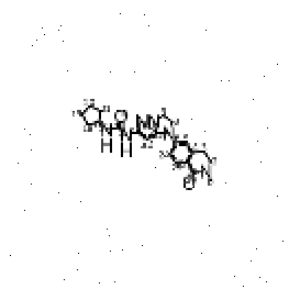 CN1CCc2cc(N3CCn4nc(NC(=O)NC5CCCC5)cc43)ccc2C1=O